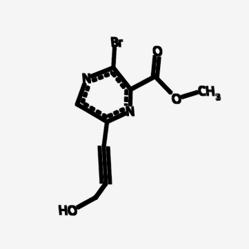 COC(=O)c1nc(C#CCO)cnc1Br